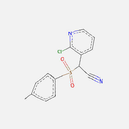 Cc1ccc(S(=O)(=O)C(C#N)c2cccnc2Cl)cc1